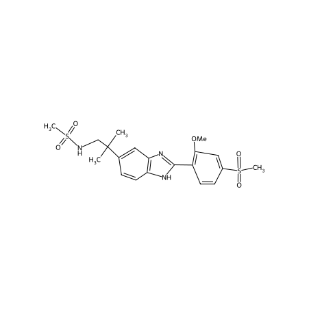 COc1cc(S(C)(=O)=O)ccc1-c1nc2cc(C(C)(C)CNS(C)(=O)=O)ccc2[nH]1